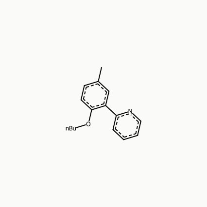 CCCCOc1ccc(C)cc1-c1ccccn1